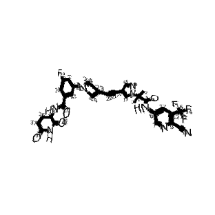 CC(C)(C(=O)Nc1cnc(C#N)c(C(F)(F)F)c1)n1cc(C#CC2CN(c3cc(F)cc(C(=O)NC4CCC(=O)NC4=O)c3)C2)cn1